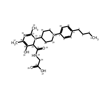 CCCCc1ccc(N2CCC(N3C(C)=NC(C)=C(O)C3C(=O)NCC(=O)O)CC2)cc1